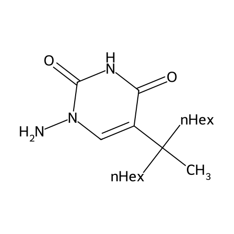 CCCCCCC(C)(CCCCCC)c1cn(N)c(=O)[nH]c1=O